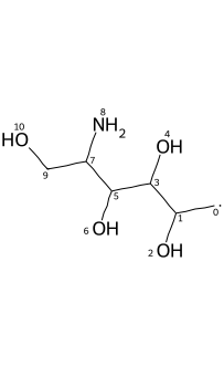 [CH2]C(O)C(O)C(O)C(N)CO